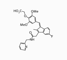 COc1cc(C=C2C(C)=C(CC(=O)NCc3ccccn3)c3cc(F)ccc32)cc(OC)c1OCC(=O)O